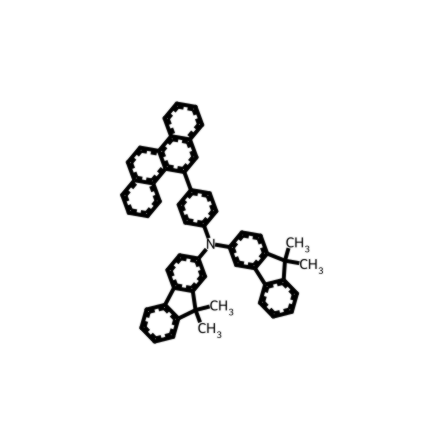 CC1(C)c2ccccc2-c2cc(N(c3ccc(-c4cc5ccccc5c5ccc6ccccc6c45)cc3)c3ccc4c(c3)C(C)(C)c3ccccc3-4)ccc21